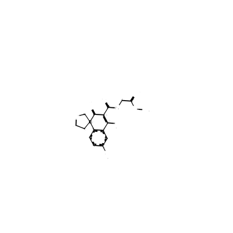 CC(C)(C)OC(=O)CNC(=O)C1=C(O)c2cc(Cl)ccc2C2(CCOC2)C1=O